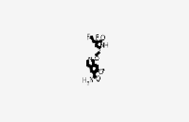 COc1cc2c(OCC[C@@H]3C[C@@](F)(CCF)C(=O)N3)nccc2cc1C(N)=O